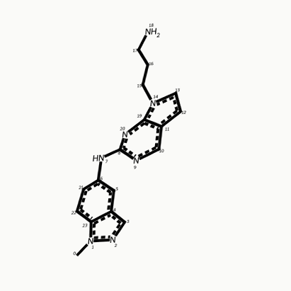 Cn1ncc2cc(Nc3ncc4ccn(CCCN)c4n3)ccc21